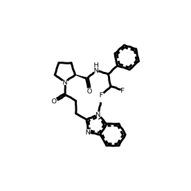 Cn1c(CCC(=O)N2CCC[C@H]2C(=O)NC(c2ccccc2)C(F)F)nc2ccccc21